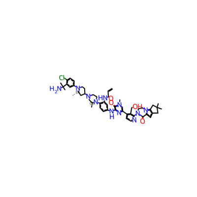 C=CC(=O)Nc1cc(Nc2nc(-c3ccnc(N4CCn5c(cc6c5CC(C)(C)C6)C4=O)c3CO)cn(C)c2=O)ccc1N1CCN(C2CCN(c3ccc(Cl)c(C(C)(C)N)c3)[C@@H](C)C2)C[C@@H]1C